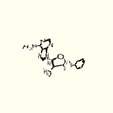 Nc1ncnc2c1ncn2[C@@H]1O[C@H](CSc2ccccc2)C(F)C1O